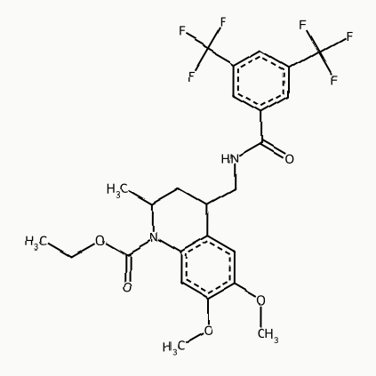 CCOC(=O)N1c2cc(OC)c(OC)cc2C(CNC(=O)c2cc(C(F)(F)F)cc(C(F)(F)F)c2)CC1C